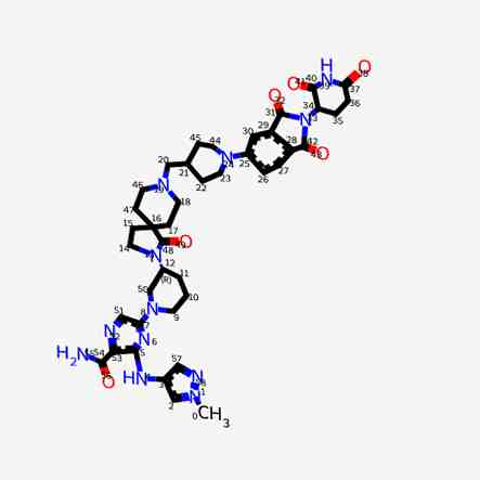 Cn1cc(Nc2nc(N3CCC[C@@H](N4CCC5(CCN(CC6CCN(c7ccc8c(c7)C(=O)N(C7CCC(=O)NC7=O)C8=O)CC6)CC5)C4=O)C3)cnc2C(N)=O)cn1